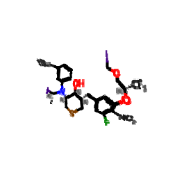 C[C@H](I)N(c1cccc(C(C)(C)C)c1)[C@H]1CSC[C@@H](Cc2cc(F)c([N+](=O)[O-])c(O[C@H](COCI)C(F)(F)F)c2)[C@@H]1O